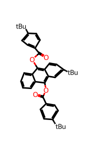 CC(C)(C)c1ccc(C(=O)Oc2c3ccccc3c(OC(=O)c3ccc(C(C)(C)C)cc3)c3cc(C(C)(C)C)ccc23)cc1